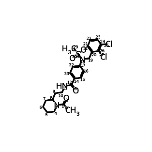 CC(=O)N1CCCCC1CCNC(=O)c1ccc(N(Cc2cccc(Cl)c2Cl)S(C)(=O)=O)cc1